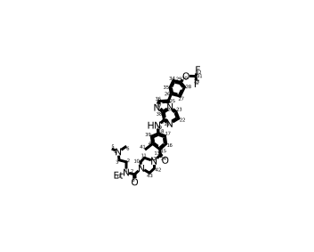 CCN(CCN(C)C)C(=O)N1CCN(C(=O)c2ccc(Nc3nccn4c(-c5ccc(OC(F)F)cc5)cnc34)cc2C)CC1